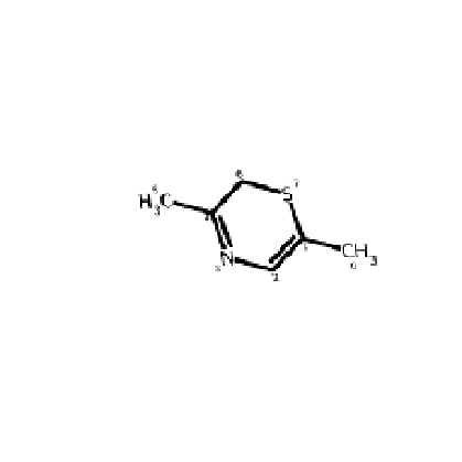 CC1=CN=C(C)CS1